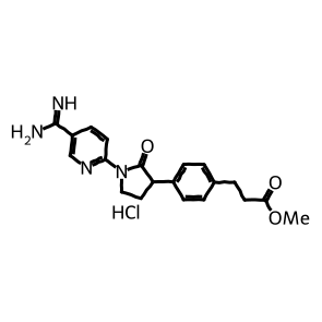 COC(=O)CCc1ccc(C2CCN(c3ccc(C(=N)N)cn3)C2=O)cc1.Cl